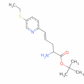 CCSc1ccc(C=CCC(N)C(=O)OC(C)(C)C)nc1